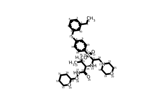 CCc1cccc(Sc2ccc(S(=O)(=O)C(CN3CCOCC3)N[C@@H](C(=O)NOC3CCCCO3)C(C)C)cc2)c1